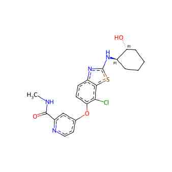 CNC(=O)c1cc(Oc2ccc3nc(N[C@@H]4CCCC[C@H]4O)sc3c2Cl)ccn1